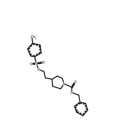 Cc1ccc(S(=O)(=O)OCCC2CCN(C(=O)OCc3ccccc3)CC2)cc1